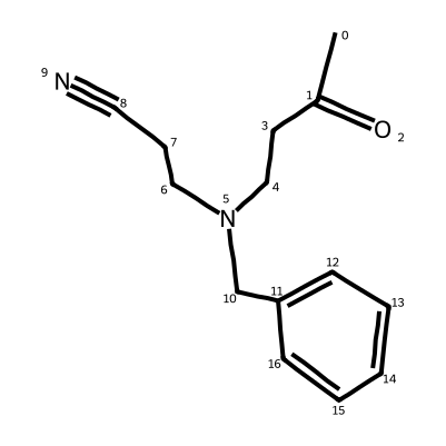 CC(=O)CCN(CCC#N)Cc1ccccc1